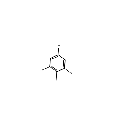 [CH2]c1cc(F)cc(F)c1C